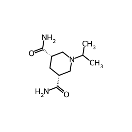 CC(C)N1C[C@H](C(N)=O)C[C@H](C(N)=O)C1